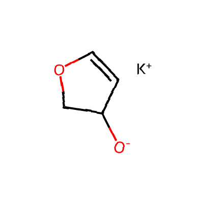 [K+].[O-]C1C=COC1